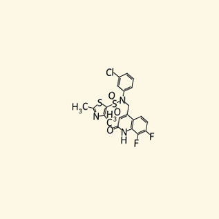 Cc1nc(C)c(S(=O)(=O)N(Cc2cc(=O)[nH]c3c(F)c(F)ccc23)c2cccc(Cl)c2)s1